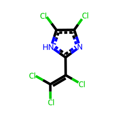 ClC(Cl)=C(Cl)c1nc(Cl)c(Cl)[nH]1